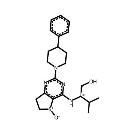 CC(C)[C@H](CO)Nc1nc(N2CCC(c3ccccc3)CC2)nc2c1[S+]([O-])CC2